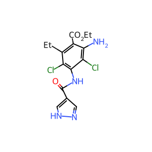 CCOC(=O)c1c(N)c(Cl)c(NC(=O)c2cn[nH]c2)c(Cl)c1CC